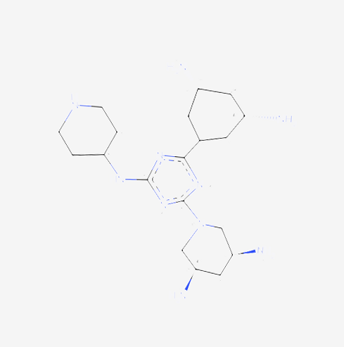 N[C@@H]1CC(c2nc(NC3CCNCC3)nc(N3C[C@H](N)C[C@H](N)C3)n2)C[C@H](N)C1